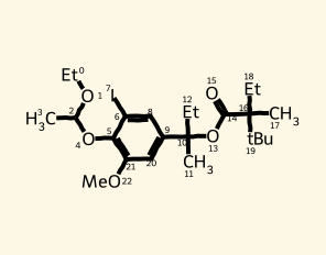 CCOC(C)Oc1c(I)cc(C(C)(CC)OC(=O)C(C)(CC)C(C)(C)C)cc1OC